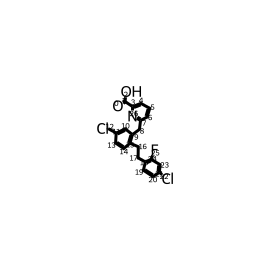 O=C(O)c1cccc(Cc2cc(Cl)ccc2CCc2ccc(Cl)cc2F)n1